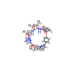 CC1NC(=O)C(C(C)C)NC(=O)C(C)(C)Oc2ccc(cc2)-c2cccc(n2)[C@@H](C)OC(=O)C2CCCN(N2)C1=O